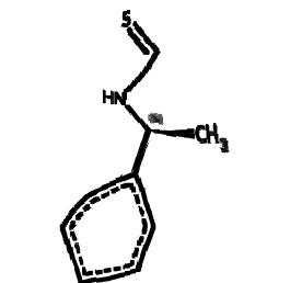 C[C@H](NC=S)c1ccccc1